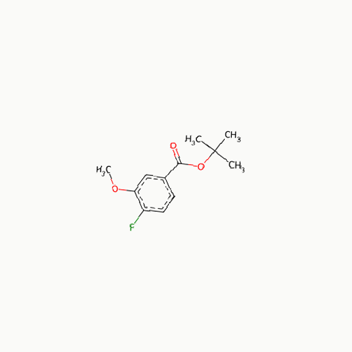 COc1cc(C(=O)OC(C)(C)C)ccc1F